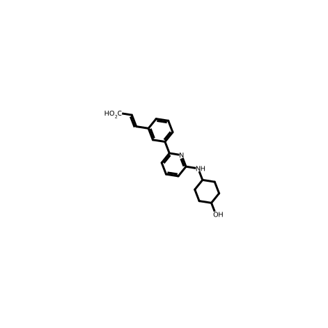 O=C(O)C=Cc1cccc(-c2cccc(NC3CCC(O)CC3)n2)c1